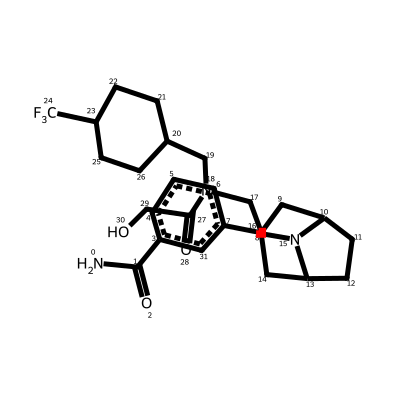 NC(=O)c1cccc(C2CC3CCC(C2)N3CCN(CC2CCC(C(F)(F)F)CC2)C(=O)CO)c1